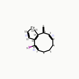 C=C1/C=C\CCC/C=C(/I)C(/C=C\CC)=C1C